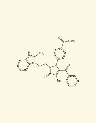 COC(=O)c1ccc(C2C(C(=O)c3cccnc3)=C(O)C(=O)N2CCc2c(C)[nH]c3ccccc23)cc1